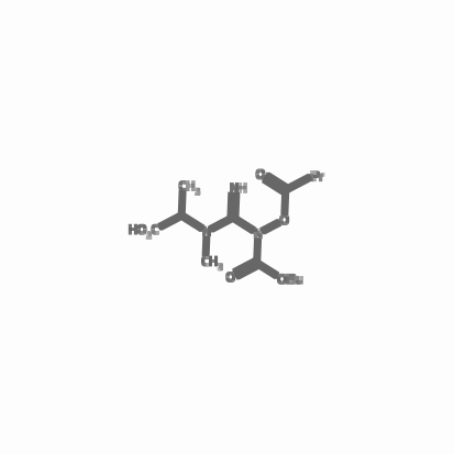 CC(C)COC(=O)N(OC(=O)C(C)C)C(=N)N(C)C(C)C(=O)O